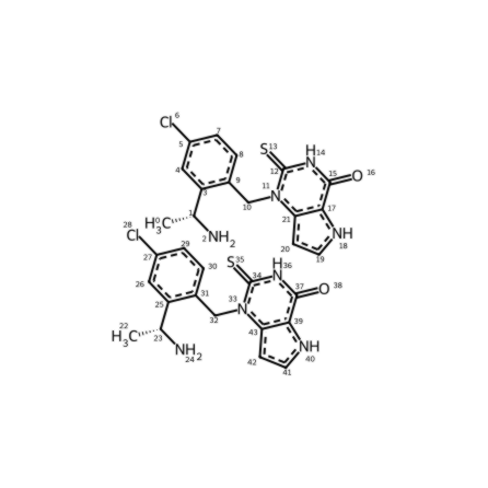 C[C@@H](N)c1cc(Cl)ccc1Cn1c(=S)[nH]c(=O)c2[nH]ccc21.C[C@@H](N)c1cc(Cl)ccc1Cn1c(=S)[nH]c(=O)c2[nH]ccc21